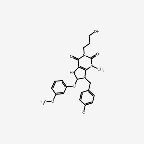 COc1cccc(OC2Nc3c(n(C)c(=O)n(CCCO)c3=O)N2Cc2ccc(Cl)cc2)c1